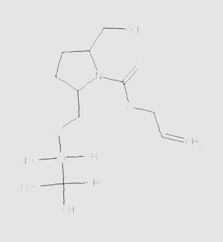 C=CCOC(=O)N1C(CO)CCC1CO[Si](C)(C)C(C)(C)C